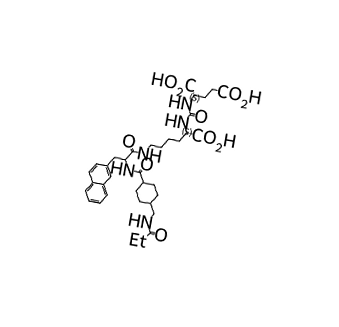 CCC(=O)NCC1CCC(C(=O)NC(Cc2ccc3ccccc3c2)C(=O)NCCCC[C@H](NC(=O)N[C@@H](CCC(=O)O)C(=O)O)C(=O)O)CC1